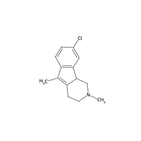 CC1=C2CCN(C)CC2c2cc(Cl)ccc21